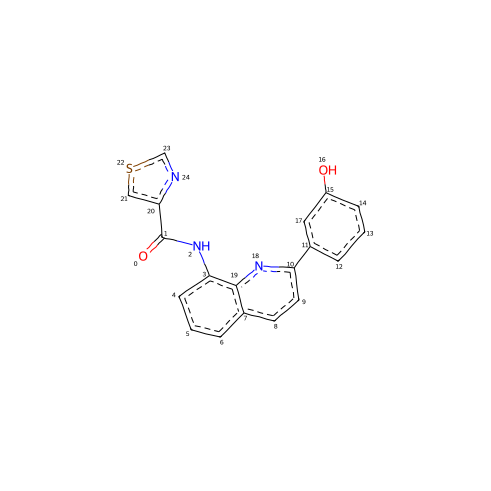 O=C(Nc1cccc2ccc(-c3cccc(O)c3)nc12)c1cscn1